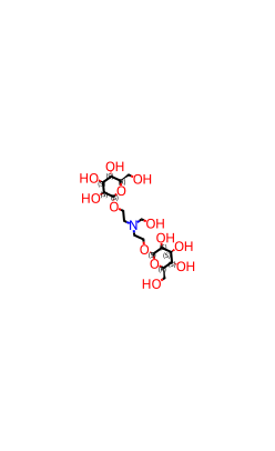 OC[C@H]1O[C@H](OCCN(CO)CCO[C@H]2O[C@H](CO)[C@@H](O)[C@H](O)[C@@H]2O)[C@@H](O)[C@@H](O)[C@@H]1O